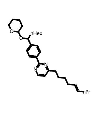 CCCC=CCCCCc1ccnc(-c2ccc(C(CCCCCC)OC3CCCCO3)cc2)n1